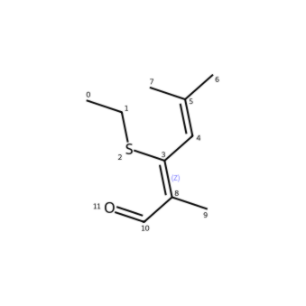 CCS/C(C=C(C)C)=C(/C)C=O